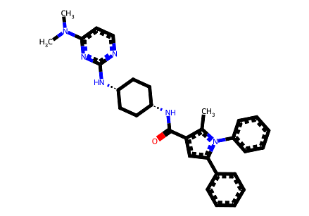 Cc1c(C(=O)N[C@H]2CC[C@@H](Nc3nccc(N(C)C)n3)CC2)cc(-c2ccccc2)n1-c1ccccc1